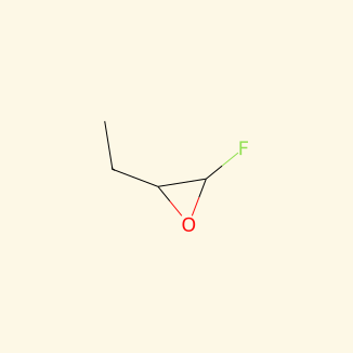 CCC1OC1F